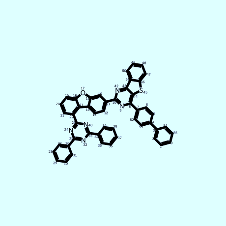 c1ccc(-c2ccc(-c3nc(-c4ccc5c(c4)oc4cccc(-c6nc(-c7ccccc7)nc(-c7ccccc7)n6)c45)nc4c3sc3ccccc34)cc2)cc1